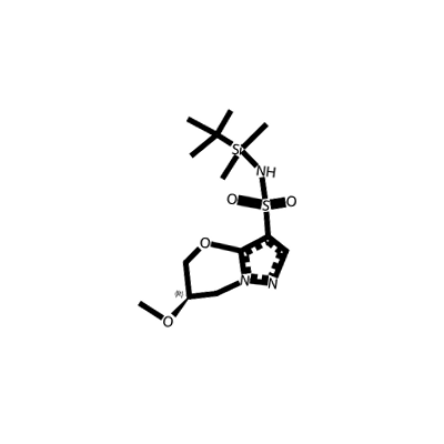 CO[C@H]1COc2c(S(=O)(=O)N[Si](C)(C)C(C)(C)C)cnn2C1